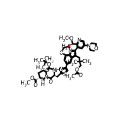 COC(=O)[C@@H]1CCCN(C(=O)[C@H](Cc2nc(-c3cc4c5c(c3)c(CC(C)(C)COC(C)=O)c(-c3cc(N6CCOCC6)cnc3[C@H](C)OC)n5CCO4)cs2)NC(=O)OC(C)(C)C)N1